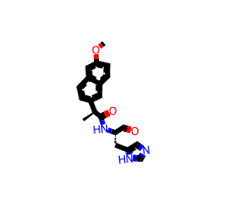 COc1ccc2cc([C@H](C)C(=O)N[C@H](C=O)Cc3cnc[nH]3)ccc2c1